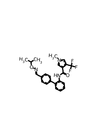 CC(C)O/N=C/c1ccc(-c2ccccc2NC(=O)c2cn(C)cc2C(F)(F)F)cc1